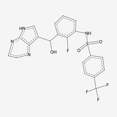 O=S(=O)(Nc1cccc(C(O)c2c[nH]c3nccnc23)c1F)c1ccc(C(F)(F)F)cc1